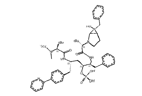 CN(C(=O)[O-])[C@H](C(=O)N[C@@H](Cc1ccc(-c2ccccn2)cc1)C[C@H](OP(=O)(O)O)[C@H](Cc1ccccc1)NC(=O)[C@@H](N1CCC2C1[N+]2(O)Cc1ccccc1)C(C)(C)C)C(C)(C)C